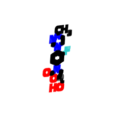 CN1CCN(c2ccc(N3C[C@H](CO)OC3=O)cc2F)C=N1